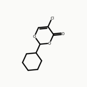 O=C1OC(C2CCCCC2)OC=C1Cl